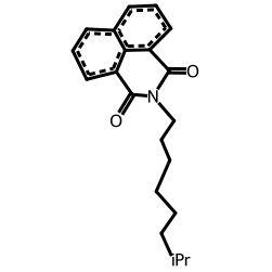 CC(C)CCCCCCN1C(=O)c2cccc3cccc(c23)C1=O